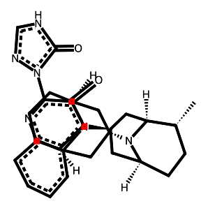 C[C@@H]1CC[C@H]2C[C@@H](n3c(=O)c(-n4nc[nH]c4=O)nc4ccccc43)C[C@@H]1N2[C@H]1C[C@@H]2CCC[C@@H](C2)C1